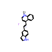 CC[n+]1ccc(/C=C/c2ccc3[nH]ccc3c2)c2ccccc21.[I-]